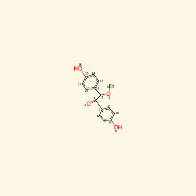 CCOC(C(=O)c1ccc(O)cc1)c1ccc(O)cc1